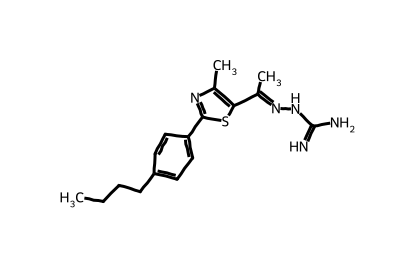 CCCCc1ccc(-c2nc(C)c(/C(C)=N/NC(=N)N)s2)cc1